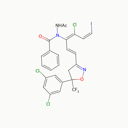 CC(=O)NN(C(=O)c1ccccc1)C(/C=C/C1=NOC(c2cc(Cl)cc(Cl)c2)(C(F)(F)F)C1)=C(Cl)/C=C\I